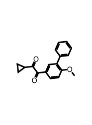 COc1ccc(C(=O)C(=O)C2CC2)cc1-c1ccccc1